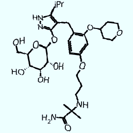 CC(C)c1[nH]nc(O[C@@H]2O[C@H](CO)[C@@H](O)[C@H](O)[C@H]2O)c1Cc1ccc(OCCCNC(C)(C)C(N)=O)cc1OC1CCOCC1